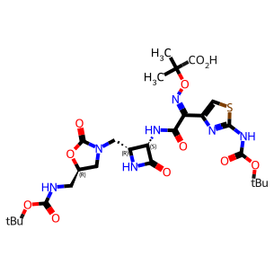 CC(C)(C)OC(=O)NC[C@@H]1CN(C[C@H]2NC(=O)[C@H]2NC(=O)C(=NOC(C)(C)C(=O)O)c2csc(NC(=O)OC(C)(C)C)n2)C(=O)O1